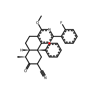 COc1nc(-c2ccccc2F)nc2c1CC[C@H]1[C@H](C)C(=O)C(C#N)C[C@@]21c1ccccc1